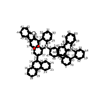 c1cc(-c2ccc(N(c3cccc(-c4cc5ccccc5c5ccccc45)c3)c3ccccc3-c3cccc4c3oc3ccccc34)cc2)cc(-c2ccccc2-n2c3ccccc3c3ccccc32)c1